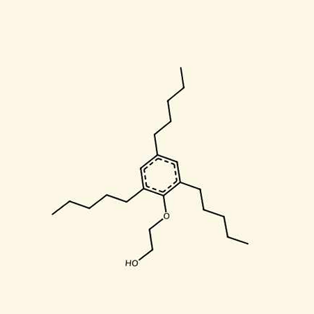 CCCCCc1cc(CCCCC)c(OCCO)c(CCCCC)c1